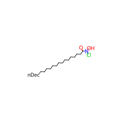 CCCCCCCCCCCCCCCCCCCCCCCCC(=O)N(O)Cl